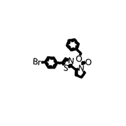 O=C(OCc1ccccc1)N1CCC=C1c1ncc(-c2ccc(Br)cc2)s1